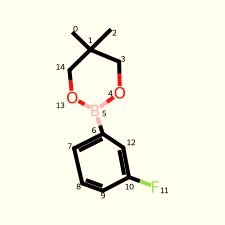 CC1(C)COB(c2cccc(F)c2)OC1